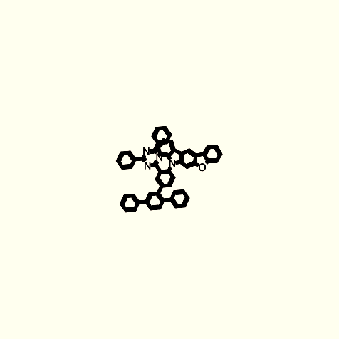 c1ccc(-c2ccc(-c3ccccc3)c(-c3ccc(-n4c5ccccc5c5cc6c(cc54)oc4ccccc46)c(-c4nc(-c5ccccc5)nc(-c5ccccc5)n4)c3)c2)cc1